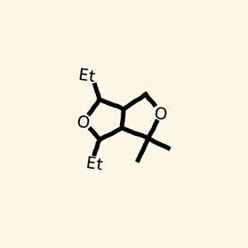 CCC1OC(CC)C2C1COC2(C)C